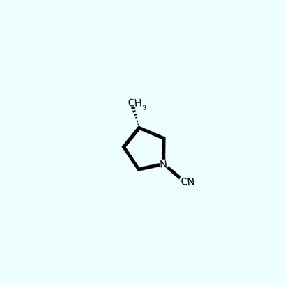 C[C@H]1CCN(C#N)C1